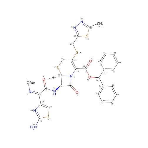 CO/N=C(\C(=O)N[C@@H]1C(=O)N2C(C(=O)OC(c3ccccc3)c3ccccc3)=C(SCc3nnc(C)s3)CS[C@H]12)c1csc(N)n1